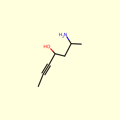 CC#CC(O)CC(C)N